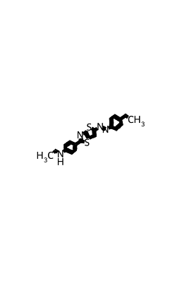 CCNc1ccc(-c2nc3sc(N=Nc4ccc(CC)cc4)cc3s2)cc1